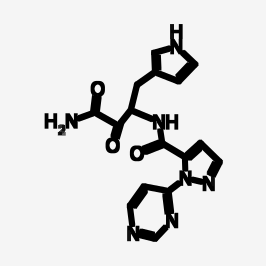 NC(=O)C(=O)C(Cc1cc[nH]c1)NC(=O)c1ccnn1-c1ccncn1